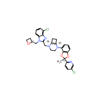 C[C@]1(c2ccc(Cl)cn2)Oc2cccc(N3CCN(Cc4nc5c(Cl)cccc5n4C[C@@H]4CCO4)[C@H]4CC[C@H]43)c2O1